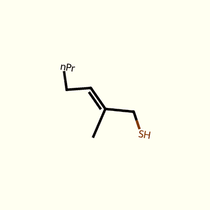 CCCC/C=C(\C)CS